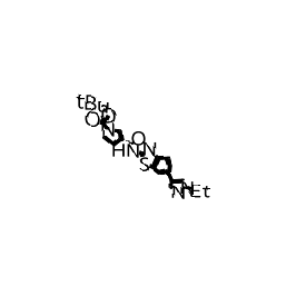 CCn1cc(-c2ccc3nc(NC(=O)[C@@H]4CCN(C(=O)OC(C)(C)C)C4)sc3c2)cn1